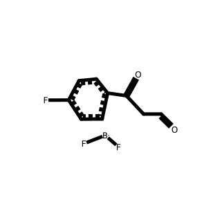 F[B]F.O=CCC(=O)c1ccc(F)cc1